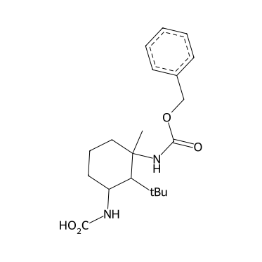 CC(C)(C)C1C(NC(=O)O)CCCC1(C)NC(=O)OCc1ccccc1